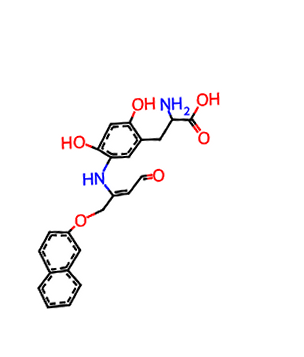 NC(Cc1cc(N/C(=C\C=O)COc2ccc3ccccc3c2)c(O)cc1O)C(=O)O